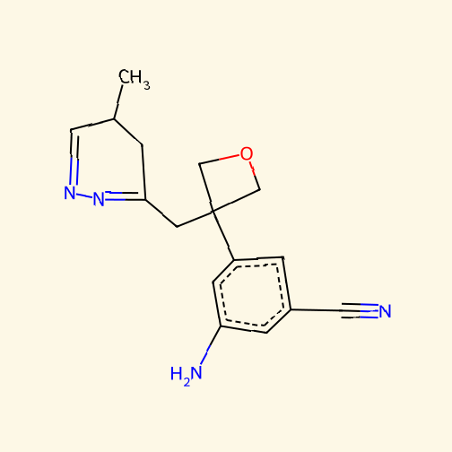 CC1C=NN=C(CC2(c3cc(N)cc(C#N)c3)COC2)C1